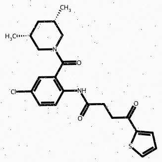 C[C@@H]1C[C@H](C)CN(C(=O)c2cc(Cl)ccc2NC(=O)CCC(=O)c2cccs2)C1